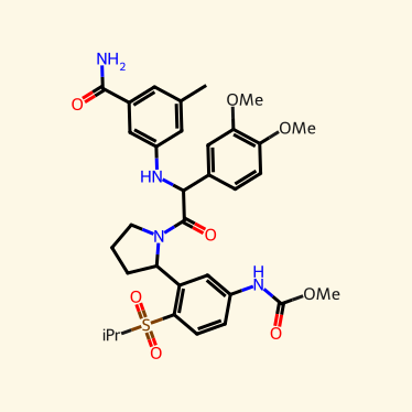 COC(=O)Nc1ccc(S(=O)(=O)C(C)C)c(C2CCCN2C(=O)C(Nc2cc(C)cc(C(N)=O)c2)c2ccc(OC)c(OC)c2)c1